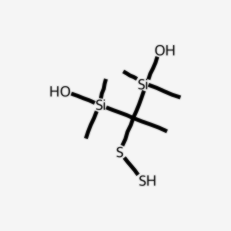 CC(SS)([Si](C)(C)O)[Si](C)(C)O